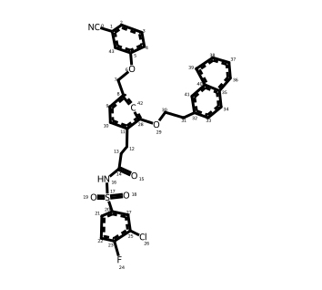 N#Cc1cccc(OCc2ccc(CCC(=O)NS(=O)(=O)c3ccc(F)c(Cl)c3)c(OCCc3ccc4ccccc4c3)c2)c1